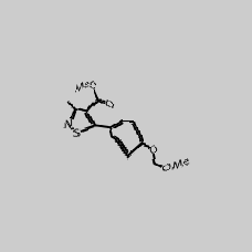 COCOc1ccc(-c2snc(C)c2C(=O)OC)cc1